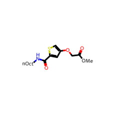 CCCCCCCCNC(=O)c1cc(OCC(=O)OC)cs1